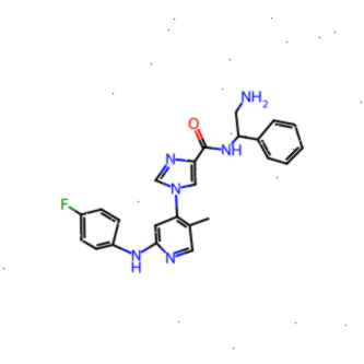 Cc1cnc(Nc2ccc(F)cc2)cc1-n1cnc(C(=O)NC(CN)c2ccccc2)c1